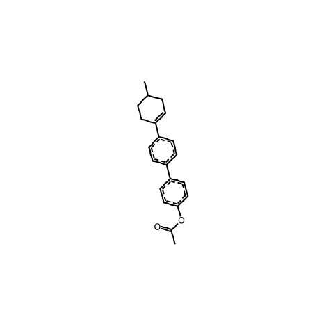 CC(=O)Oc1ccc(-c2ccc(C3=CCC(C)CC3)cc2)cc1